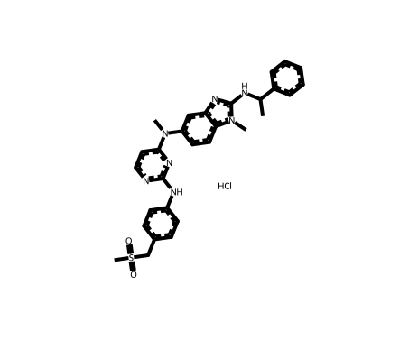 CC(Nc1nc2cc(N(C)c3ccnc(Nc4ccc(CS(C)(=O)=O)cc4)n3)ccc2n1C)c1ccccc1.Cl